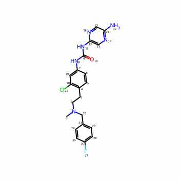 CN(CCc1ccc(NC(=O)Nc2cnc(N)cn2)cc1Cl)Cc1ccc(F)cc1